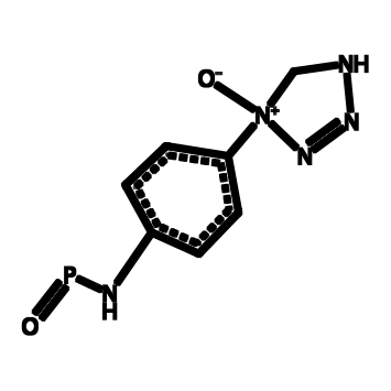 O=PNc1ccc([N+]2([O-])CNN=N2)cc1